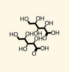 O=C(O)[C@H](O)[C@@H](O)[C@H](O)CO.O=C(O)[C@H](O)[C@@H](O)[C@H](O)CO